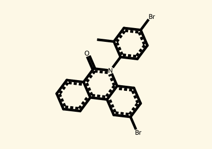 Cc1cc(Br)ccc1-n1c(=O)c2ccccc2c2cc(Br)ccc21